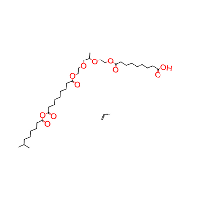 C=CC.CC(C)CCCCCC(=O)OC(=O)CCCCCCCC(=O)OCCOCC(C)OCCOC(=O)CCCCCCCC(=O)O